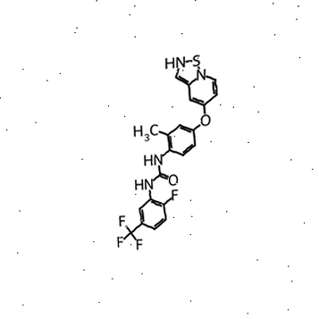 Cc1cc(OC2=CC3=CNSN3C=C2)ccc1NC(=O)Nc1cc(C(F)(F)F)ccc1F